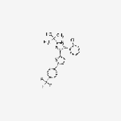 CC(C)(O)c1cc(-c2ccc(-c3ccc(C(F)(F)F)cc3)s2)n(-c2ccccc2Cl)n1